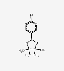 CCc1ncc(B2OC(C)(C)C(C)(C)O2)cn1